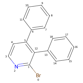 Brc1nccc(-c2ccccc2)c1-c1ccccc1